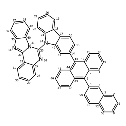 c1ccc2cc(-c3c4ccccc4c(-c4ccc5c6ccccc6n(-c6nc7ccccc7c7nc8ccccc8n67)c5c4)c4ccccc34)ccc2c1